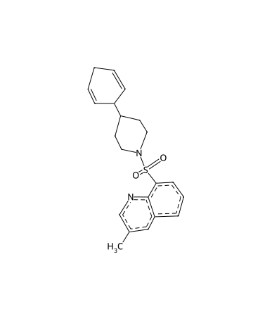 Cc1cnc2c(S(=O)(=O)N3CCC(C4C=CCC=C4)CC3)cccc2c1